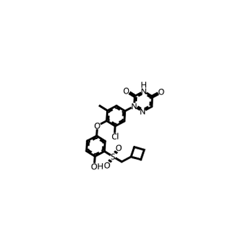 Cc1cc(-n2ncc(=O)[nH]c2=O)cc(Cl)c1Oc1ccc(O)c(S(=O)(=O)CC2CCC2)c1